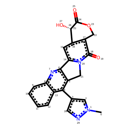 Cn1cc(-c2c3c(nc4ccccc24)-c2cc4c(c(=O)n2C3)COC(=O)[C@H]4O)cn1